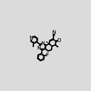 Cc1cnccc1-c1nc(-c2ccccc2F)c2c(n1)[C@]1(C)C=C(C#N)C(=O)C(C)C1CC2